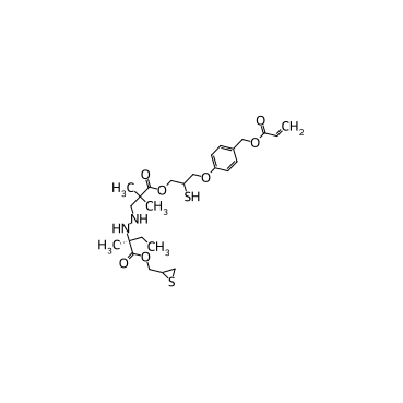 C=CC(=O)OCc1ccc(OCC(S)COC(=O)C(C)(C)CNN[C@@](C)(CC)C(=O)OCC2CS2)cc1